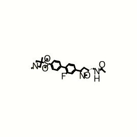 CC(=O)NC[C@H]1CC(c2ccc(-c3ccc(S(=O)(=O)C4(C)CN(C)C4)cc3)c(F)c2)=NO1